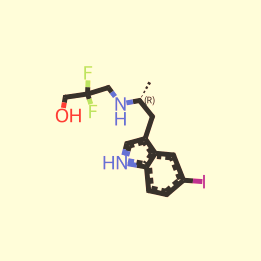 C[C@H](Cc1c[nH]c2ccc(I)cc12)NCC(F)(F)CO